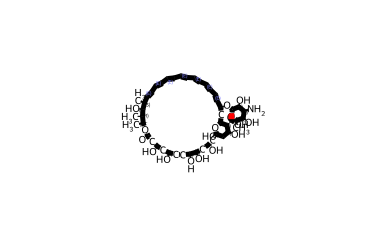 C[C@@H]1[C@H](O)[C@@H](C)/C=C/C=C/C=C/C=C/C=C/C=C/C=C/[C@H](OC2O[C@H](C)[C@@H](O)[C@H](N)[C@H]2O)CC2O[C@](O)(C[C@@H](O)C[C@@H](O)[C@H](O)CC[C@@H](O)C[C@@H](O)CC(=O)O[C@H]1C)C[C@H](O)[C@H]2C(=O)O